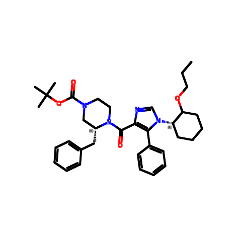 CCCOC1CCCC[C@@H]1n1cnc(C(=O)N2CCN(C(=O)OC(C)(C)C)C[C@H]2Cc2ccccc2)c1-c1ccccc1